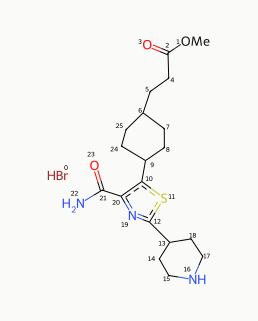 Br.COC(=O)CCC1CCC(c2sc(C3CCNCC3)nc2C(N)=O)CC1